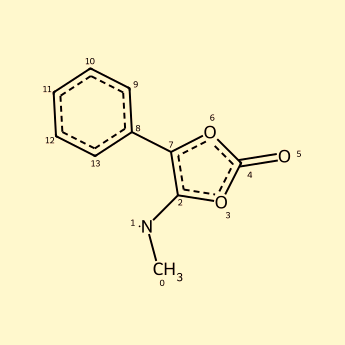 C[N]c1oc(=O)oc1-c1ccccc1